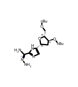 CCCCOC[C@H]1O[C@@H](c2cnc(/C(N)=N\N)[nH]2)C[C@@H]1OCCCC